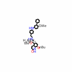 CCCCOc1ccc([C@H](CNCCc2ccc(Nc3ccc(OC)c(-c4ccccc4)c3)cc2)O[Si](C)(C)C(C)(C)C)c2ccc(=O)[nH]c12